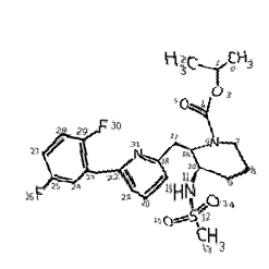 CC(C)OC(=O)N1CCC[C@@H](NS(C)(=O)=O)[C@H]1Cc1cccc(-c2cc(F)ccc2F)n1